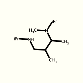 CC(C)NCC(C)C(C)N(C)C(C)C